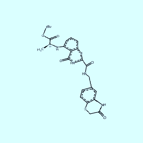 C[C@H](Nc1cccc2nc(C(=O)NCc3ccc4c(c3)NC(=O)CO4)[nH]c(=O)c12)C(=O)OC(C)(C)C